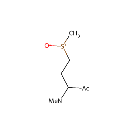 CNC(CC[S+](C)[O-])C(C)=O